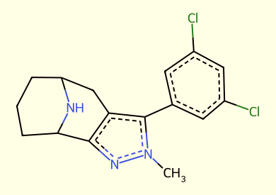 Cn1nc2c(c1-c1cc(Cl)cc(Cl)c1)CC1CCCC2N1